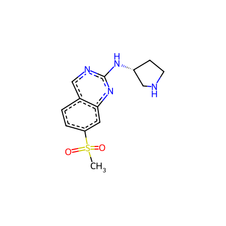 CS(=O)(=O)c1ccc2cnc(N[C@@H]3CCNC3)nc2c1